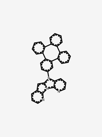 c1ccc2c(c1)-c1ccccc1-c1ccc(-n3c4cccnc4n4c5ncccc5cc34)cc1-c1ccccc1-2